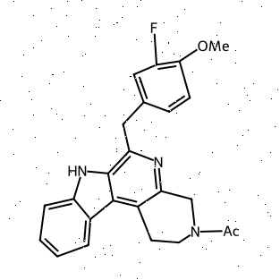 COc1ccc(Cc2nc3c(c4c2[nH]c2ccccc24)CCN(C(C)=O)C3)cc1F